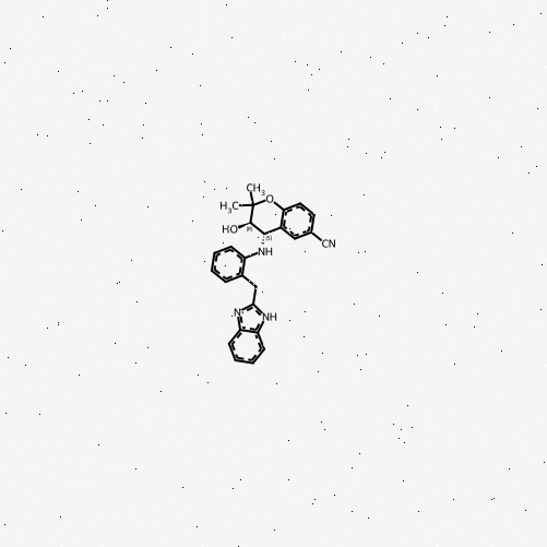 CC1(C)Oc2ccc(C#N)cc2[C@H](Nc2ccccc2Cc2nc3ccccc3[nH]2)[C@H]1O